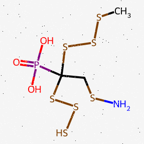 CSSSC(CSN)(SSS)P(=O)(O)O